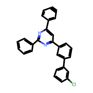 Clc1cccc(-c2cccc(-c3cc(-c4cc#ccc4)nc(-c4ccccc4)n3)c2)c1